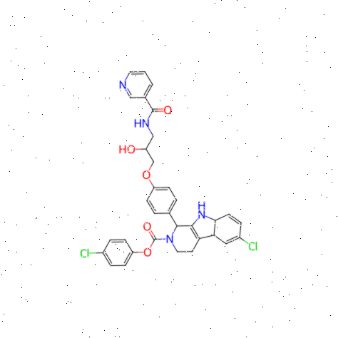 O=C(NCC(O)COc1ccc(C2C3=C(CCN2C(=O)Oc2ccc(Cl)cc2)C2C=C(Cl)C=CC2N3)cc1)c1cccnc1